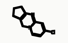 ClC1=CC2=NC3=C(CCC3)CN2C=C1